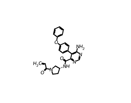 C=CC(=O)N1CC[C@@H](NC(=O)c2ncnc(N)c2-c2ccc(Oc3ccccc3)cc2)C1